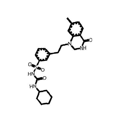 Cc1ccc2c(c1)N(CCc1cccc(S(=O)(=O)NC(=O)NC3CCCCC3)c1)CNC2=O